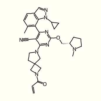 C=CC(=O)N1CC2(CCN(c3nc(OC[C@@H]4CCCN4C)nc(-c4c(C)ccc5cnn(C6CC6)c45)c3C#N)C2)C1